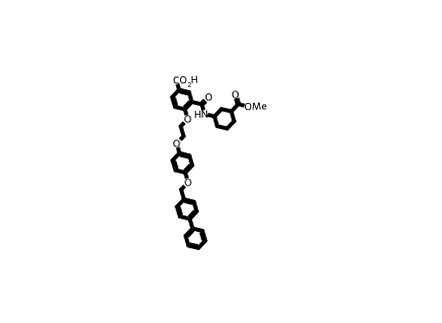 COC(=O)C1CCCC(NC(=O)c2cc(C(=O)O)ccc2OCCOc2ccc(OCc3ccc(-c4ccccc4)cc3)cc2)C1